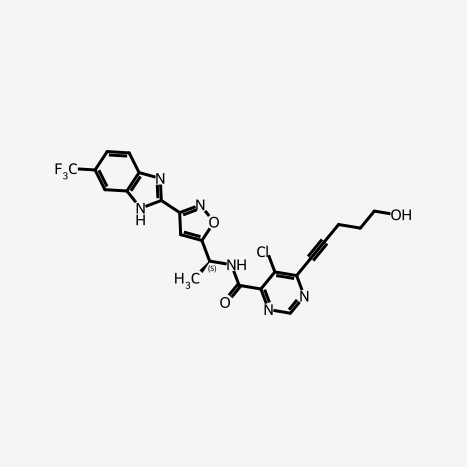 C[C@H](NC(=O)c1ncnc(C#CCCCO)c1Cl)c1cc(-c2nc3ccc(C(F)(F)F)cc3[nH]2)no1